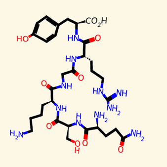 N=C(N)NCCC[C@H](NC(=O)CNC(=O)[C@H](CCCCN)NC(=O)[C@H](CO)NC(=O)[C@@H](N)CCC(N)=O)C(=O)N[C@@H](Cc1ccc(O)cc1)C(=O)O